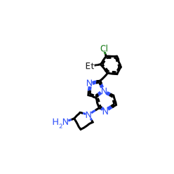 CCc1c(Cl)cccc1-c1ncc2c(N3CCC(N)C3)nccn12